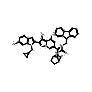 COc1cc(C(=O)N2CC3CCC2[C@@H]3NC(=O)OCC2c3ccccc3-c3ccccc32)cn2nc(-c3cc4ccc(C(C)=O)cc4n3CC3CC3)c(C)c12